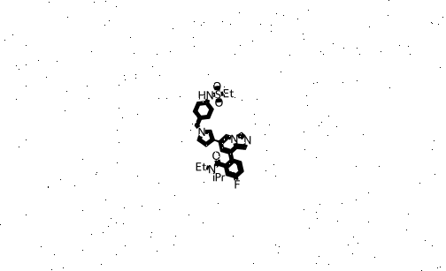 CCN(C(=O)c1cc(F)ccc1-c1cc([C@H]2CCN(CC3CCC(NS(=O)(=O)CC)CC3)C2)cn2cncc12)C(C)C